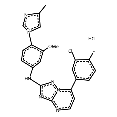 COc1cc(Nc2nc3nccc(-c4ccc(F)c(Cl)c4)n3n2)ccc1-n1cnc(C)c1.Cl